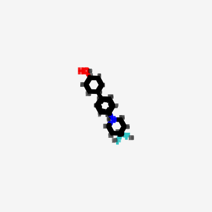 O[C@H]1CC[C@@H](c2ccc(N3CCC(F)(F)CC3)cc2)CC1